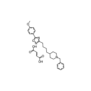 COc1ccc(-c2nc(CCCCC3CCN(Cc4ccccc4)CC3)no2)cc1.O=C(O)/C=C/C(=O)O